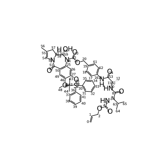 C=CCOC(=O)N[C@H](C(=O)N[C@@H](C)C(=O)Nc1ccc(COC(=O)N2c3cc(O[Si](c4ccccc4)(c4ccccc4)C(C)(C)C)c(OC)cc3C(=O)N3C=C(C)C[C@H]3[C@@H]2O)cc1)C(C)C